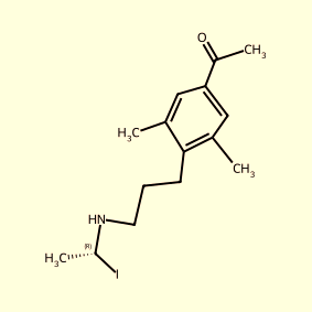 CC(=O)c1cc(C)c(CCCN[C@@H](C)I)c(C)c1